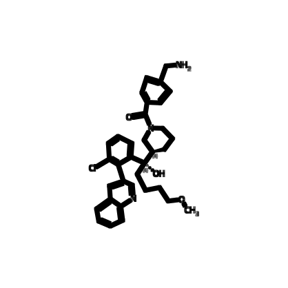 COCCCC[C@@](O)(c1cccc(Cl)c1-c1cnc2ccccc2c1)[C@@H]1CCCN(C(=O)c2ccc(CN)cc2)C1